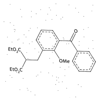 CCOC(=O)C(Cc1cccc(C(=O)c2ccccc2)c1OC)C(=O)OCC